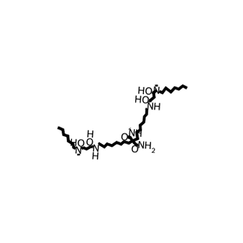 CCCCCCCN(C)C(O)CC(O)NCCCCCCCCC(CCCCCCCCNC(O)CC(O)N(C)CCCCCCC)(C(N)=O)C(=O)NC